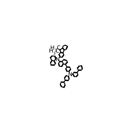 CC1(C)C2=C(C=CCC2)c2ccc(N(c3cccc4ccccc34)c3cccc4c(-c5ccc(N(c6ccc(-c7ccccc7)cc6)c6cccc(-c7ccccc7)c6)cc5)cccc34)cc21